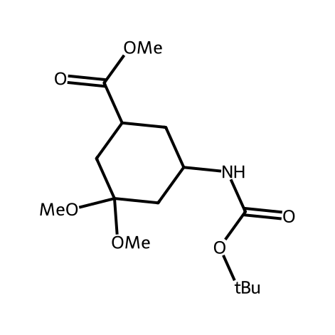 COC(=O)C1CC(NC(=O)OC(C)(C)C)CC(OC)(OC)C1